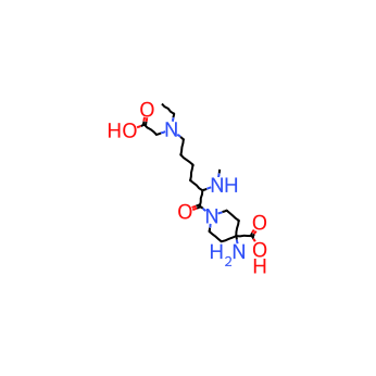 CCN(CCCCC(NC)C(=O)N1CCC(N)(C(=O)O)CC1)CC(=O)O